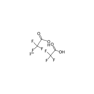 O=C(O)C(F)(F)F.O=C(O)C(F)(F)F.[I+3]